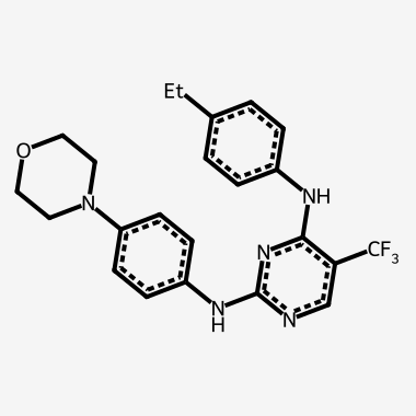 CCc1ccc(Nc2nc(Nc3ccc(N4CCOCC4)cc3)ncc2C(F)(F)F)cc1